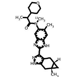 Cc1cc2[nH]c(-c3n[nH]c4c3C[C@@H]3C[C@]3(C)C4)nc2cc1N([13CH3])C(=O)C(C)C1CCOCC1